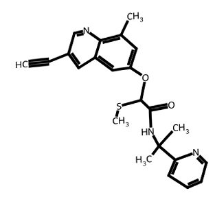 C#Cc1cnc2c(C)cc(OC(SC)C(=O)NC(C)(C)c3ccccn3)cc2c1